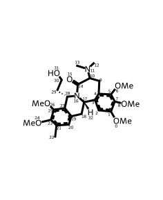 COc1cc2c(c(OC)c1OC)CC(N(C)C)C(=O)N1[C@H]2Cc2cc(C)c(OC)c(OC)c2[C@@H]1CCO